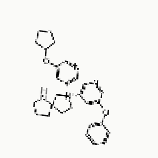 c1ccc(Oc2cncc([N+]3(c4cncc(OC5CCCC5)c4)CCC4(CCCN4)C3)c2)cc1